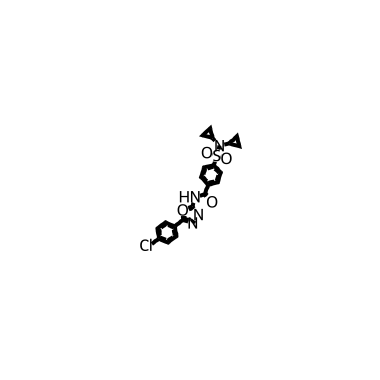 O=C(Nc1nnc(-c2ccc(Cl)cc2)o1)c1ccc(S(=O)(=O)N(C2CC2)C2CC2)cc1